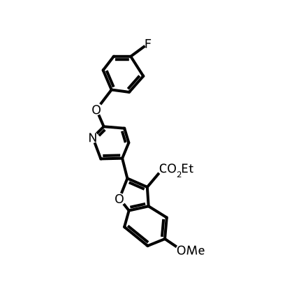 CCOC(=O)c1c(-c2ccc(Oc3ccc(F)cc3)nc2)oc2ccc(OC)cc12